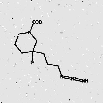 N=[N+]=NCCCC1(F)CCCN(C(=O)[O-])C1